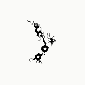 Cn1cc(Cc2c[nH]c(OCCc3ccc(Oc4ccc(Cl)c(C(F)(F)F)c4)cc3)nc2=O)cn1.O=C(O)C(F)(F)F